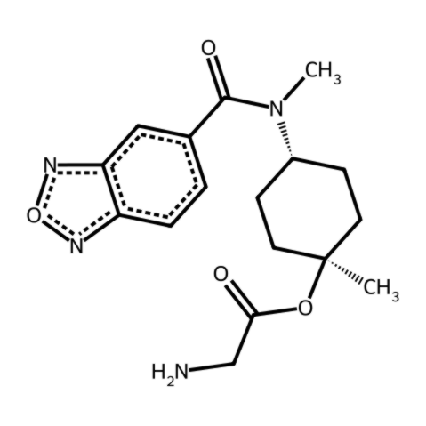 CN(C(=O)c1ccc2nonc2c1)[C@H]1CC[C@](C)(OC(=O)CN)CC1